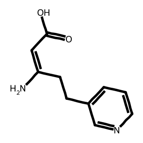 N/C(=C/C(=O)O)CCc1cccnc1